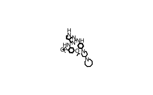 CC(C)Oc1cc(Nc2nc(Nc3ccccc3P(C)(C)=O)c3cc[nH]c3n2)ccc1N1CCC(N2CCCCCCC2)CC1